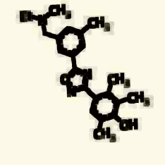 CCN(C)Cc1cc(C)cc(-c2nc(-c3cc(C)c(O)c(C)c3C)no2)c1